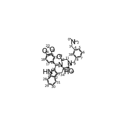 CN(C)Cc1cccc(CN2CC(=O)N3[C@H](c4ccc5c(c4)OCO5)c4[nH]c5ccccc5c4C[C@@H]3C2=O)c1